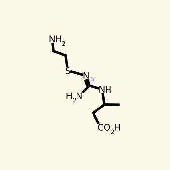 CC(CC(=O)O)N/C(N)=N/SCCN